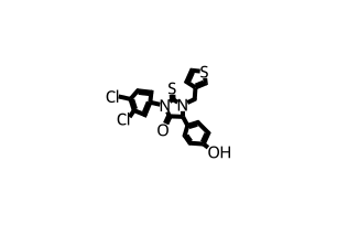 O=C1C(c2ccc(O)cc2)N(Cc2ccsc2)C(=S)N1c1ccc(Cl)c(Cl)c1